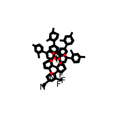 Cc1ccc(-c2ccc3c(c2)c2cc(-c4ccc(C)cc4C)ccc2n3-c2cccc(C#N)c2-c2c(-c3ccc(C#N)cc3C(F)(F)F)cccc2-n2c3ccc(-c4ccc(C)cc4C)cc3c3cc(-c4ccc(C)cc4C)ccc32)c(C)c1